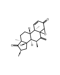 C=C1[C@@H](C)[C@H]2[C@@H]3C[C@@H](F)C(=O)[C@@]3(C)CC[C@@H]2[C@@]2(C)C=CC(=O)C3OC132